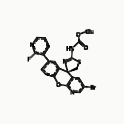 CC(C)(C)OC(=O)NC1=N[C@@]2(CS1)c1cc(-c3cccnc3F)ccc1Oc1ncc(Br)cc12